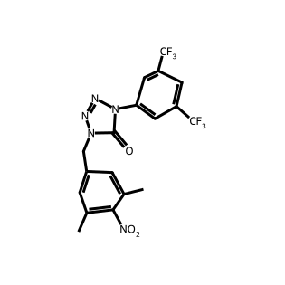 Cc1cc(Cn2nnn(-c3cc(C(F)(F)F)cc(C(F)(F)F)c3)c2=O)cc(C)c1[N+](=O)[O-]